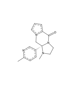 Cc1ccc([C@]23Cn4cccc4C(=O)N2CCN3C)cn1